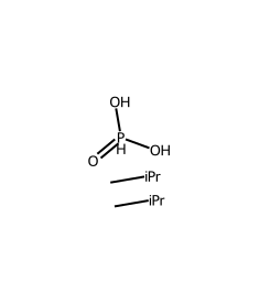 CC(C)C.CC(C)C.O=[PH](O)O